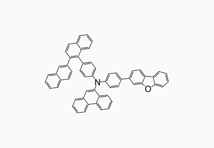 c1ccc2cc(-c3ccc4ccccc4c3-c3ccc(N(c4ccc(-c5ccc6c(c5)oc5ccccc56)cc4)c4cc5ccccc5c5ccccc45)cc3)ccc2c1